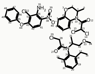 CC1COc2ccccc2N1C(=O)C(Cl)Cl.CCc1cccc(C)c1N(C(=O)CCl)C(C)COC.Nc1c([N+](=O)[O-])ccc(Oc2ccccc2)c1Cl